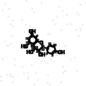 OC1=CCC([C@H]2Oc3cc(O)cc(O)c3[C@H](O)[C@@H]2O)C=C1